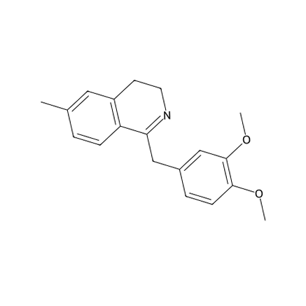 COc1ccc(CC2=NCCc3cc(C)ccc32)cc1OC